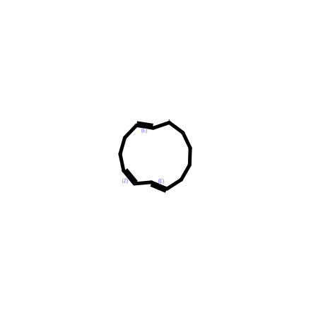 [CH]1/C=C/CC/C=C\C=C\CCCC1